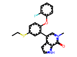 CCSc1ccc(Oc2ccccc2F)c(-c2cn(C)c(=O)c3[nH]ccc23)c1